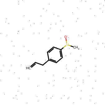 [CH]=CCc1ccc([S+](C)[O-])cc1